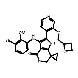 COc1c(Cl)cccc1Nc1c(-c2ccncc2OCC2CCO2)[nH]c2c1C(=O)NCC21CC1